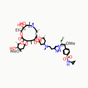 CC[C@H]1OC(=O)[C@H](C)[C@@H](O[C@H]2C[C@@](C)(OC)[C@@H](O)[C@H](C)O2)[C@H](C)[C@@H](O[C@H]2C[C@@H](N(C)CCc3cn([C@H](CF)[C@H](OC)c4ccc(S(=O)(=O)NC5CC5)cc4)nn3)C[C@@H](C)O2)[C@](C)(O)C[C@@H](C)CN(C)[C@H](C)[C@@H](O)[C@]1(C)O